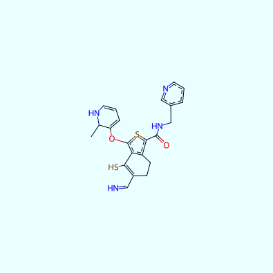 CC1NC=CC=C1Oc1sc(C(=O)NCc2cccnc2)c2c1C(S)=C(C=N)CC2